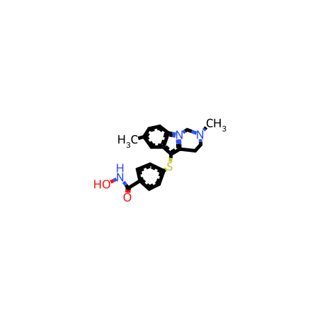 Cc1ccc2c(c1)c(Sc1ccc(C(=O)NO)cc1)c1n2CN(C)CC1